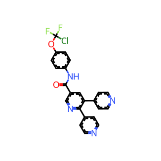 O=C(Nc1ccc(OC(F)(F)Cl)cc1)c1cnc(-c2ccncc2)c(-c2ccncc2)c1